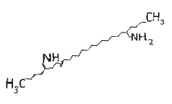 CCCCCC(CN)CCCCCCCCCCCCCCCCC(CN)CCCCC